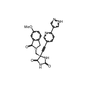 COc1ccc2c(c1)C(=O)N(C[C@@]1(C#Cc3ccc(-c4cn[nH]c4)nc3)NC(=O)NC1=O)C2